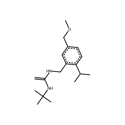 C=C(NCc1cc(COC)ccc1C(C)C)NC(C)(C)C